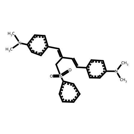 CN(C)c1ccc(C=CC(=Cc2ccc(N(C)C)cc2)CS(=O)(=O)c2ccccc2)cc1